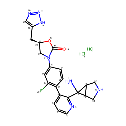 Cl.Cl.NC1(c2ncccc2-c2ccc(N3C[C@@H](Cc4cnn[nH]4)OC3=O)cc2F)C2CNCC21